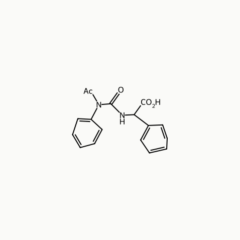 CC(=O)N(C(=O)NC(C(=O)O)c1ccccc1)c1ccccc1